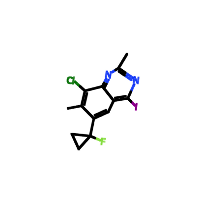 Cc1nc(I)c2cc(C3(F)CC3)c(C)c(Cl)c2n1